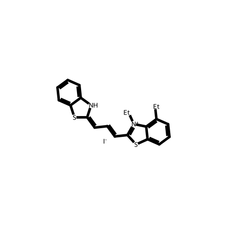 CCc1cccc2sc(C=CC=C3Nc4ccccc4S3)[n+](CC)c12.[I-]